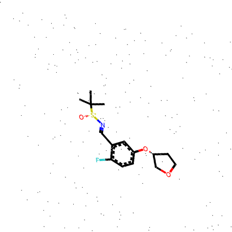 CC(C)(C)[S@@+]([O-])N=Cc1cc(O[C@@H]2CCOC2)ccc1F